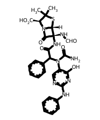 CC1(C)S[C@H]2N(C(=O)[C@@]2(NC=O)NC(=O)C(c2ccccc2)N(C(N)=O)c2cnc(Nc3ccccc3)nc2O)[C@H]1C(=O)O